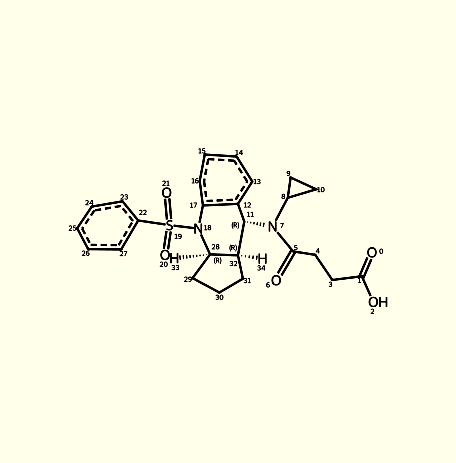 O=C(O)CCC(=O)N(C1CC1)[C@H]1c2ccccc2N(S(=O)(=O)c2ccccc2)[C@@H]2CCC[C@@H]21